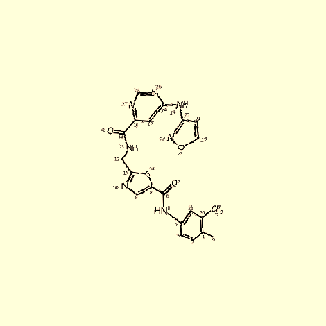 Cc1ccc(NC(=O)c2cnc(CNC(=O)c3cc(Nc4ccon4)ncn3)s2)cc1C(F)(F)F